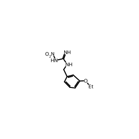 CCOc1cccc(CNC(=N)N[N+](=O)[O-])c1